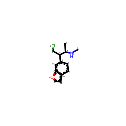 CNC(C)C(CCl)c1ccc2ccoc2c1